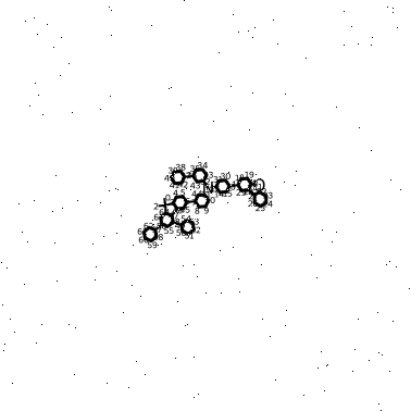 CC1(C)c2ccc(-c3cccc(N(c4ccc(-c5ccc6oc7ccccc7c6c5)cc4)c4cccc(-c5ccccc5)c4)c3)cc2-c2c(-c3ccccc3)cc(-c3ccccc3)cc21